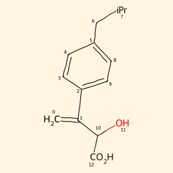 C=C(c1ccc(CC(C)C)cc1)C(O)C(=O)O